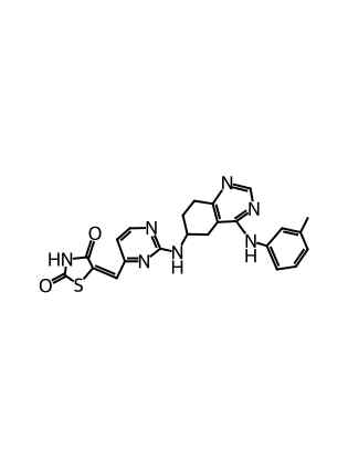 Cc1cccc(Nc2ncnc3c2CC(Nc2nccc(/C=C4/SC(=O)NC4=O)n2)CC3)c1